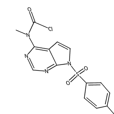 Cc1ccc(S(=O)(=O)n2ccc3c(N(C)C(=O)Cl)ncnc32)cc1